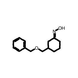 ON=C1CCCC(COCc2ccccc2)C1